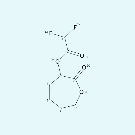 O=C(OC1CCCCOC1=O)C(F)F